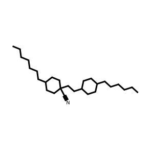 CCCCCCCC1CCC(C#N)(CCC2CCC(CCCCCC)CC2)CC1